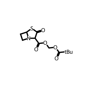 CC(C)(C)C(=O)OCOC(=O)C1C(=O)SC2CCN21